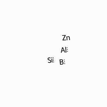 [Al].[B].[Si].[Zn]